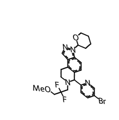 COCC(F)(F)CN1CCc2c(ccc3c2cnn3C2CCCCO2)C1c1ccc(Br)cn1